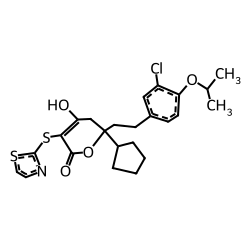 CC(C)Oc1ccc(CCC2(C3CCCC3)CC(O)=C(Sc3nccs3)C(=O)O2)cc1Cl